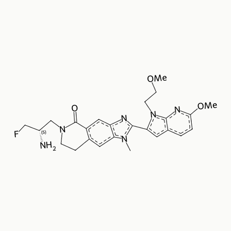 COCCn1c(-c2nc3cc4c(cc3n2C)CCN(C[C@H](N)CF)C4=O)cc2ccc(OC)nc21